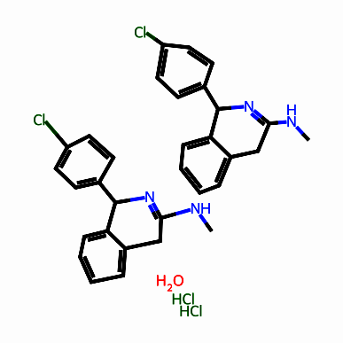 CNC1=NC(c2ccc(Cl)cc2)c2ccccc2C1.CNC1=NC(c2ccc(Cl)cc2)c2ccccc2C1.Cl.Cl.O